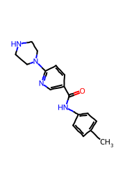 Cc1ccc(NC(=O)c2ccc(N3CCNCC3)nc2)cc1